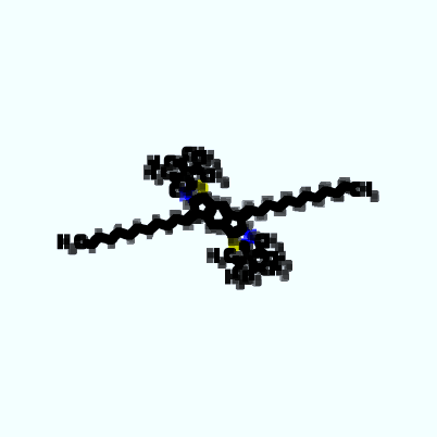 CCCCCCCCCCC/C=C1/c2cc3c(cc2-c2sc([Si](C(C)C)(C(C)C)C(C)C)nc21)/C(=C/CCCCCCCCCCC)c1nc([Si](C(C)C)(C(C)C)C(C)C)sc1-3